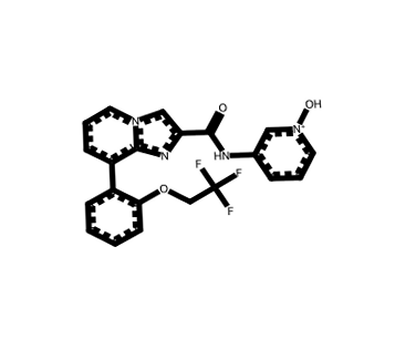 O=C(Nc1ccc[n+](O)c1)c1cn2cccc(-c3ccccc3OCC(F)(F)F)c2n1